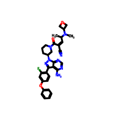 CC(/C=C(/C#N)C(=O)N1CCC[C@H](n2nc(-c3ccc(Oc4ccccc4)cc3F)c3c(N)ncnc32)C1)N(C)C1COC1